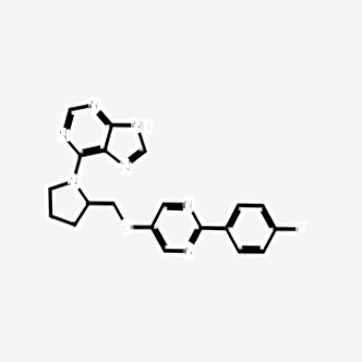 Fc1ccc(-c2ncc(OCC3CCCN3c3ncnc4[nH]cnc34)cn2)cc1